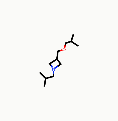 CC(C)COCC1CN(CC(C)C)C1